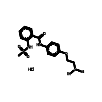 CCN(CC)CCOc1ccc(NC(=O)c2ccccc2NS(C)(=O)=O)cc1.Cl